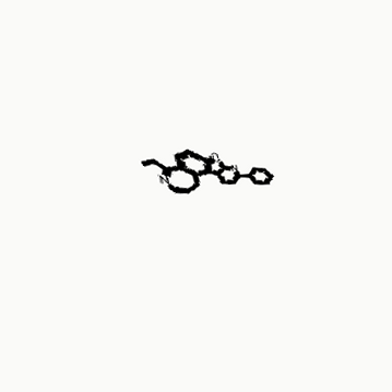 C=CC1=NC=CCc2c1ccc1oc3nc(-c4ccccc4)ccc3c21